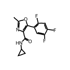 Cc1nc(C(=O)NC2CC2)c(-c2cc(F)c(F)cc2F)o1